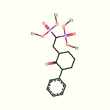 CCOP(=O)(OCC)C(CC1CCCC(c2ccccc2)C1=O)P(=O)(OCC)OCC